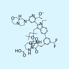 CCn1c(-c2cc(N3CCN4CCOC[C@@H]4C3)cnc2[C@H](C)OC)c(CC(C)(C)COC(C)=O)c2cc(-c3cc(C[C@H](NC(=O)OC(C)(C)C)C(=O)N4CCC[C@@H](C(=O)O)N4)cc(C(F)F)c3)ccc21